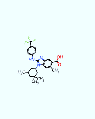 Cc1cc2c(cc1C(=O)O)nc(Nc1ccc(C(F)(F)F)cc1)n2C1CC(C)CC(C)(C)C1